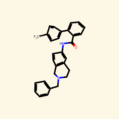 O=C(Nc1ccc2c(c1)CCN(Cc1ccccc1)C2)c1ccccc1-c1ccc(C(F)(F)F)cc1